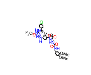 COC(=O)[C@H](CNC(=O)C(=O)NCc1ccc(OC)c(OC)c1)NC(=O)c1ccc(Nc2nc(NC3(c4ccc(Cl)cc4)CC3)nc(OCC(F)(F)F)n2)cc1